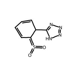 O=S(=O)=C1C=CC=CC1c1nnn[nH]1